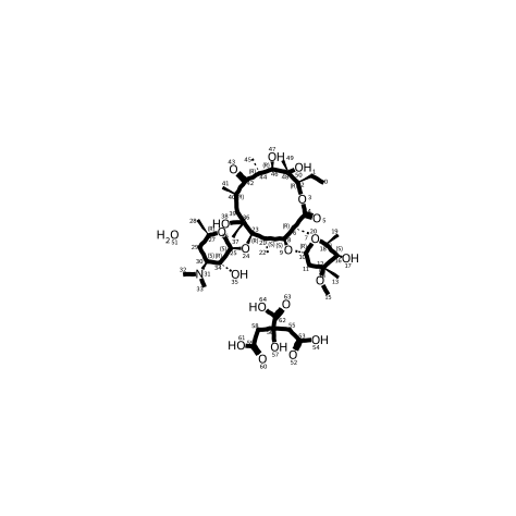 CC[C@H]1OC(=O)[C@H](C)[C@@H](O[C@H]2C[C@@](C)(OC)[C@@H](O)[C@H](C)O2)[C@H](C)[C@@H](O[C@@H]2O[C@H](C)C[C@H](N(C)C)[C@H]2O)[C@](C)(O)C[C@@H](C)C(=O)[C@H](C)[C@@H](O)[C@]1(C)O.O.O=C(O)CC(O)(CC(=O)O)C(=O)O